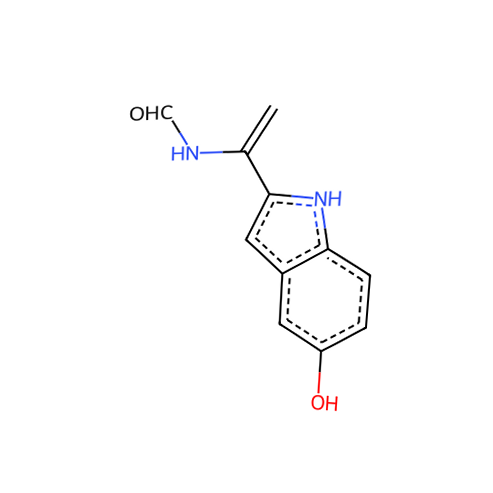 C=C(NC=O)c1cc2cc(O)ccc2[nH]1